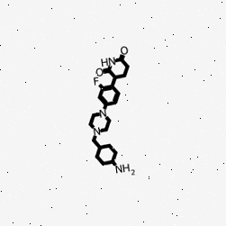 NC1CCC(CN2CCN(c3ccc(C4CCC(=O)NC4=O)c(F)c3)CC2)CC1